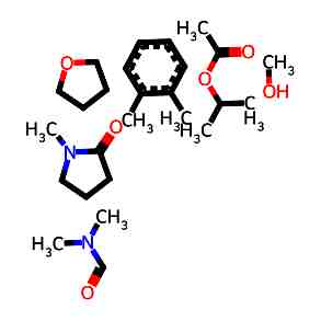 C1CCOC1.CC(=O)OC(C)C.CN(C)C=O.CN1CCCC1=O.CO.Cc1ccccc1C